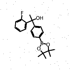 CC(O)(c1ccc(B2OC(C)(C)C(C)(C)O2)cc1)c1ccccc1F